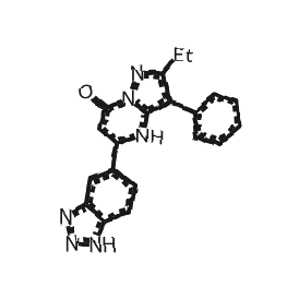 CCc1nn2c(=O)cc(-c3ccc4[nH]nnc4c3)[nH]c2c1-c1ccccc1